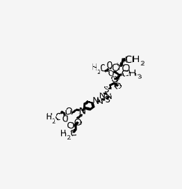 C=CC(=O)OCCN(CCOC(=O)C=C)c1ccc(N=Nc2nc(SCCC(=O)OCC(C)C(OC(=O)C=C)OC(=O)C=C)ns2)cc1